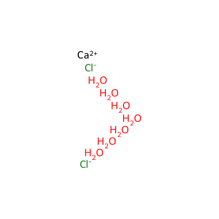 O.O.O.O.O.O.O.[Ca+2].[Cl-].[Cl-]